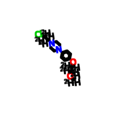 [2H]C([2H])([2H])OC([2H])([2H])C([2H])([2H])Oc1ccc(N2CCN(C([2H])([2H])C([2H])([2H])Cl)CC2)cc1